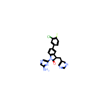 Nc1cncc(N2C(=O)C(Cc3cncnc3)c3cc(-c4ccc(F)c(Cl)c4)ccc32)n1